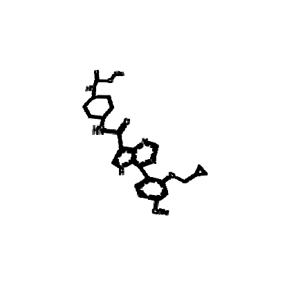 COc1ccc(-c2ncnc3c(C(=O)NC4CCC(NC(=O)OC(C)(C)C)CC4)c[nH]c23)c(OCC2CC2)c1